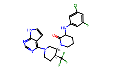 O=C1C(Nc2cc(F)cc(Cl)c2)CCCN1[C@H]1CN(c2ncnc3[nH]ccc23)CC[C@@H]1C(F)(F)F